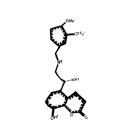 [CH2]c1cc(CNC[C@H](O)c2ccc(O)c3[nH]c(=O)ccc23)ccc1OC